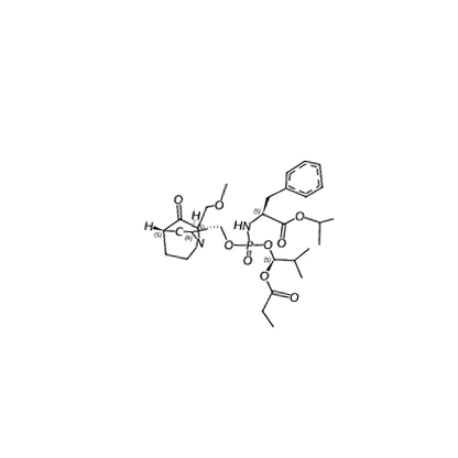 CCC(=O)O[C@@H](OP(=O)(N[C@@H](Cc1ccccc1)C(=O)OC(C)C)OC[C@@]1(COC)C(=O)[C@H]2CCN1[C@H](C)C2)C(C)C